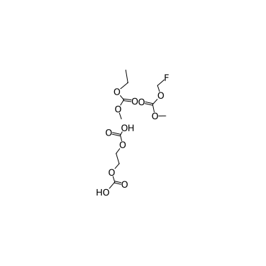 CCOC(=O)OC.COC(=O)OCF.O=C(O)OCCOC(=O)O